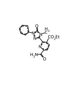 CCOC(=O)c1ccc(C(N)=O)nc1-c1nn(-c2ccccc2)c(=O)n1C